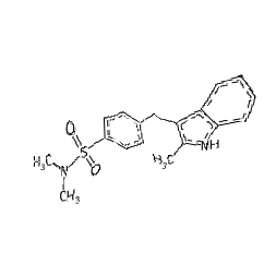 Cc1[nH]c2ccccc2c1Cc1ccc(S(=O)(=O)N(C)C)cc1